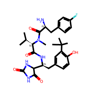 CC(C)[C@@H](C(=O)N[C@@H](Cc1ccc(O)c(C(C)(C)C)c1)C1NC(=O)NC1=O)N(C)C(=O)[C@@H](N)Cc1ccc(F)cc1